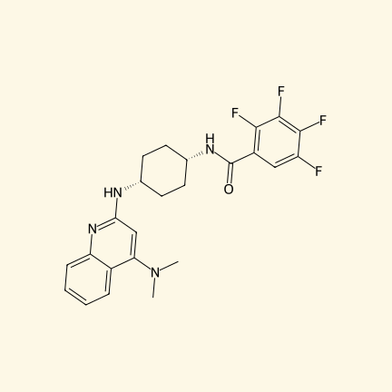 CN(C)c1cc(N[C@H]2CC[C@@H](NC(=O)c3cc(F)c(F)c(F)c3F)CC2)nc2ccccc12